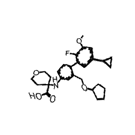 COc1cc(C2CC2)cc(-c2ccc(NC3(C(=O)O)CCOCC3)cc2COC2CCCC2)c1F